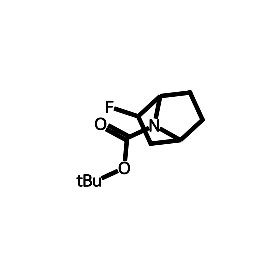 CC(C)(C)OC(=O)N1C2CCC1C(F)C2